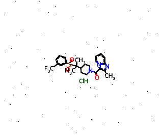 Cc1nc2ccccn2c1C(=O)N1CCC(C(C)(C)S(=O)(=O)c2cccc(C(F)(F)F)c2)CC1.Cl